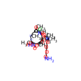 COc1cc2cc(c1Cl)N(C)C(=O)C[C@H](OC(=O)[C@H](C)N(C)COCCOCCOCCON)[C@]1(C)O[C@H]1[C@H](C)C1C[C@@](O)(NC(=O)O1)[C@H](OC)/C=C/C=C(\C)C2